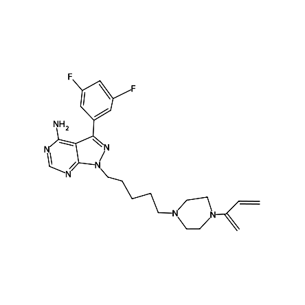 C=CC(=C)N1CCN(CCCCCn2nc(-c3cc(F)cc(F)c3)c3c(N)ncnc32)CC1